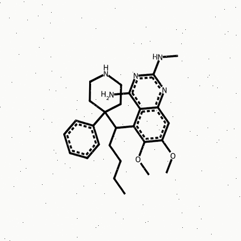 CCCCC(c1c(OC)c(OC)cc2nc(NC)nc(N)c12)C1(c2ccccc2)CCNCC1